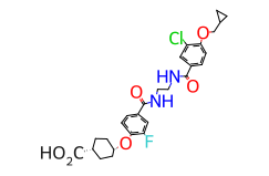 O=C(NCCNC(=O)c1ccc(OCC2CC2)c(Cl)c1)c1ccc(O[C@H]2CC[C@@H](C(=O)O)CC2)c(F)c1